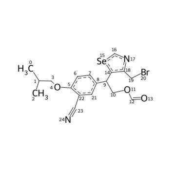 CC(C)COc1ccc(C(COC=O)c2[se]cnc2CBr)cc1C#N